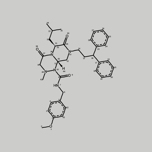 COc1ccc(CNC(=O)N2[C@H]3CN(CCC(c4ccccc4)c4ccccc4)C(=O)[C@H](CC(C)C)N3C(=O)CN2C)cc1